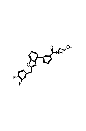 COCCNC(=O)c1cccc(-c2cccc3oc(Cc4ccc(F)c(F)c4)cc23)c1